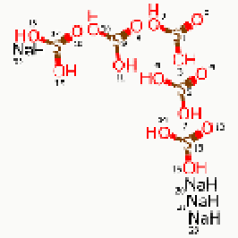 O=S(O)O.O=S(O)O.O=S(O)O.O=S(O)O.O=S(O)O.[NaH].[NaH].[NaH].[NaH]